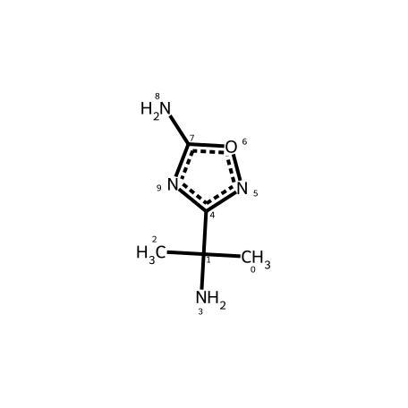 CC(C)(N)c1noc(N)n1